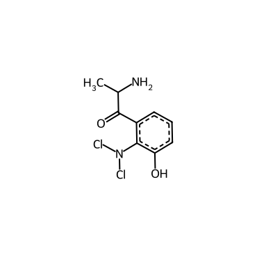 CC(N)C(=O)c1cccc(O)c1N(Cl)Cl